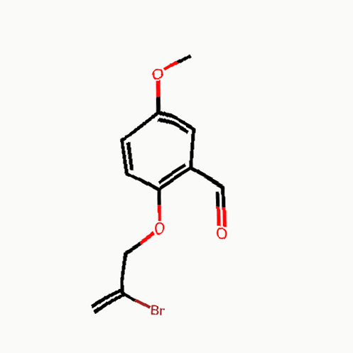 C=C(Br)COc1ccc(OC)cc1C=O